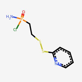 NP(=O)(Cl)CCSSc1ccccn1